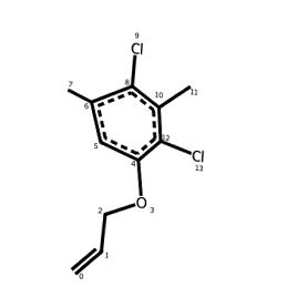 C=CCOc1cc(C)c(Cl)c(C)c1Cl